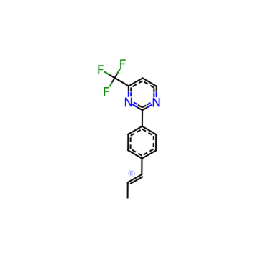 C/C=C/c1ccc(-c2nccc(C(F)(F)F)n2)cc1